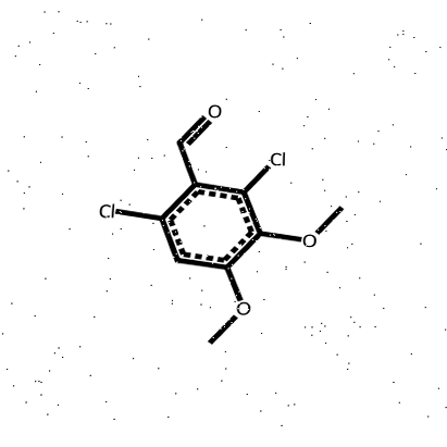 COc1cc(Cl)c(C=O)c(Cl)c1OC